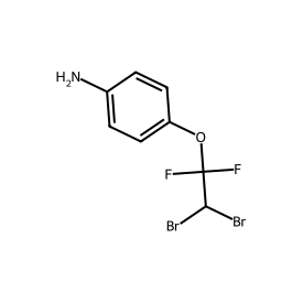 Nc1ccc(OC(F)(F)C(Br)Br)cc1